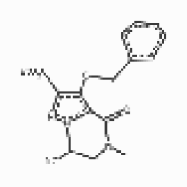 CCOC(=O)c1nn2c(c1OCc1ccccc1)C(=O)N(C)CC2C#N